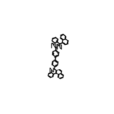 c1ccc2c(-c3nc(-c4ccc(-c5ccc(-c6nc7ccccc7c7c6ccc6ccccc67)cc5)cc4)nc4ccccc34)cccc2c1